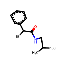 C[CH]CCC(C)CNC(=O)C(CC)c1ccccc1